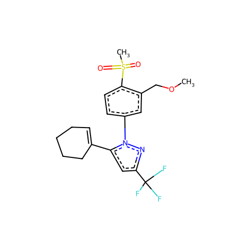 COCc1cc(-n2nc(C(F)(F)F)cc2C2=CCCCC2)ccc1S(C)(=O)=O